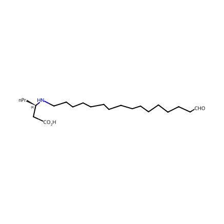 CCC[C@H](CC(=O)O)NCCCCCCCCCCCCCCCC=O